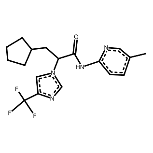 Cc1ccc(NC(=O)C(CC2CCCC2)n2cnc(C(F)(F)F)c2)nc1